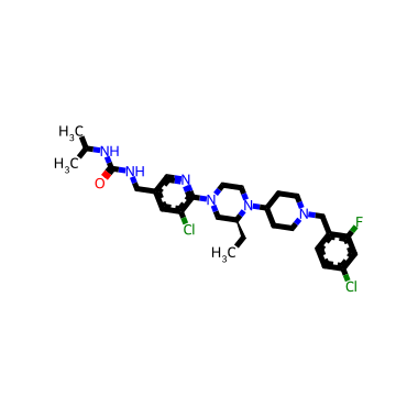 CC[C@H]1CN(c2ncc(CNC(=O)NC(C)C)cc2Cl)CCN1C1CCN(Cc2ccc(Cl)cc2F)CC1